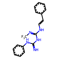 N=C(NC(=NC(F)(F)F)NC=Cc1ccccc1)Nc1ccccc1